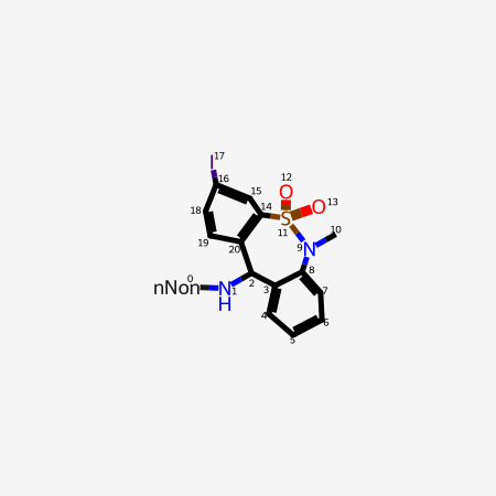 CCCCCCCCCNC1c2ccccc2N(C)S(=O)(=O)c2cc(I)ccc21